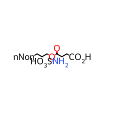 CCCCCCCCCCCCOC(=O)CCC(=O)O.NS(=O)(=O)O